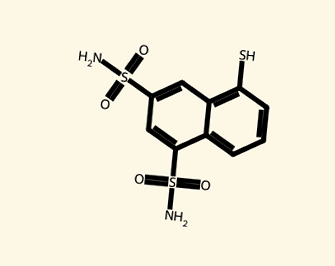 NS(=O)(=O)c1cc(S(N)(=O)=O)c2cccc(S)c2c1